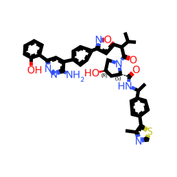 Cc1ncsc1-c1ccc(C(C)NC(=O)[C@@H]2C[C@@H](O)CN2C(=O)C(c2cc(-c3ccc(-c4cc(-c5ccccc5O)nnc4N)cc3)no2)C(C)C)cc1